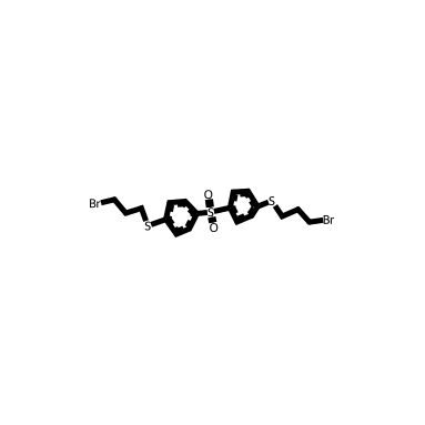 O=S(=O)(c1ccc(SCCCBr)cc1)c1ccc(SCCCBr)cc1